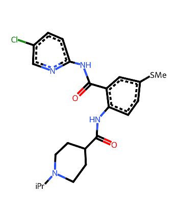 CSc1ccc(NC(=O)C2CCN(C(C)C)CC2)c(C(=O)Nc2ccc(Cl)cn2)c1